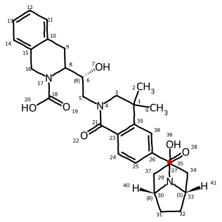 CC1(C)CN(C[C@@H](O)C2Cc3ccccc3CN2C(=O)O)C(=O)c2ccc(C(=O)N3[C@@H]4CC[C@H]3CC(O)C4)cc21